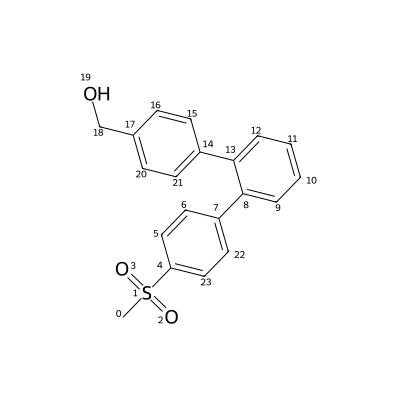 CS(=O)(=O)c1ccc(-c2ccccc2-c2ccc(CO)cc2)cc1